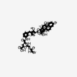 COc1c(Cc2cccc(NC(=O)[C@H](CCC(=O)O)NC(=O)CNC(=O)CBr)c2)csc1[C@@H]1O[C@@H]2C[C@H]3[C@@H]4CCC5=CC(=O)C=C[C@]5(C)[C@H]4[C@@H](O)C[C@]3(C)[C@]2(C(=O)CO)O1